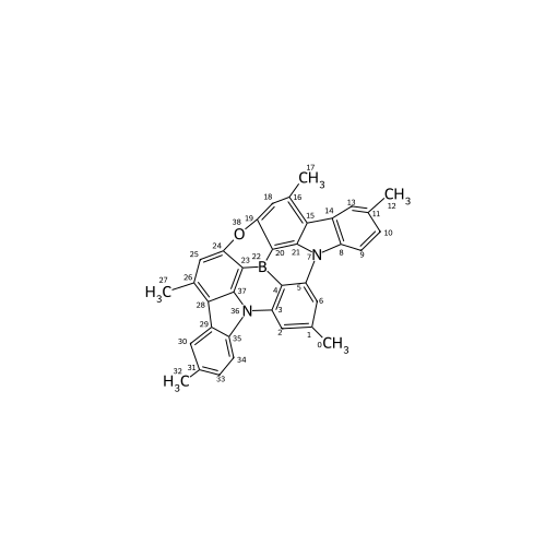 Cc1cc2c3c(c1)-n1c4ccc(C)cc4c4c(C)cc5c(c41)B3c1c(cc(C)c3c4cc(C)ccc4n-2c13)O5